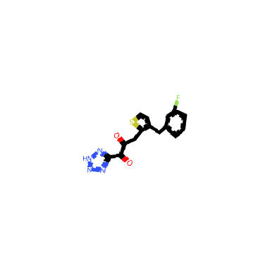 O=C(Cc1sccc1Cc1cccc(F)c1)C(=O)c1nn[nH]n1